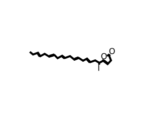 CCC=CCC=CCC=CCC=CCC=CCC(I)C1=CCC(=O)O1